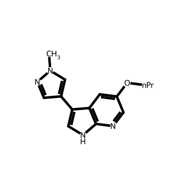 CCCOc1cnc2[nH]cc(-c3cnn(C)c3)c2c1